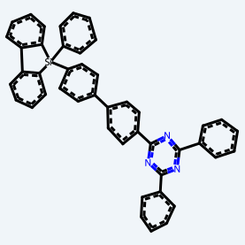 c1ccc(-c2nc(-c3ccccc3)nc(-c3ccc(-c4ccc([Si]5(c6ccccc6)c6ccccc6-c6ccccc65)cc4)cc3)n2)cc1